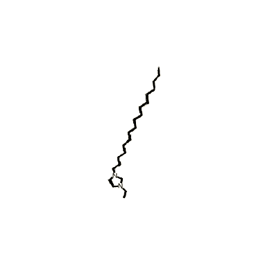 CCCCCCCCCCCCCCCCCN1C=CN(CC)C1